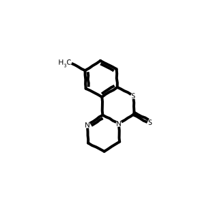 Cc1ccc2c(c1)C1=NCCCN1C(=S)S2